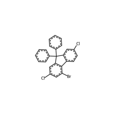 Clc1ccc2c(c1)C(c1ccccc1)(c1ccccc1)c1cc(Cl)cc(Br)c1-2